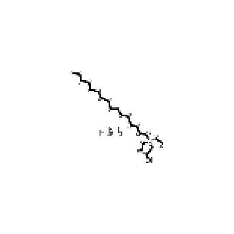 CCCCCCCCCCCCCCCC[N+](CC)(CC)CCO.I.N